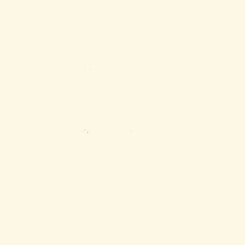 Oc1ccc(-c2ccoc2Oc2ccccc2C2CCNC2)cc1